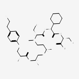 CCCCCC[C@@H](OC[C@@H](C)NC(=O)[C@@H](C)COc1ccc(CCN)cc1)[C@@H](C)CN(C)[C@@H](CC(C)C)C(=O)N[C@H](C(=O)N[C@@H](CN)C(N)=O)C1CCCCC1